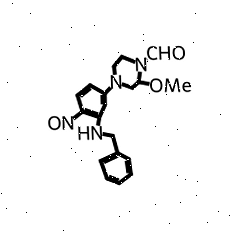 COC1CN(c2ccc(N=O)c(NCc3ccccc3)c2)CCN1C=O